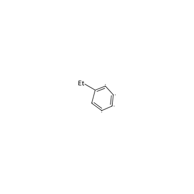 CCc1[c][c][c][c]c1